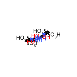 O=S(=O)(O)c1cc(/N=N/c2ccc(Nc3nc(O)nc(Nc4ccc(/N=N/c5cc(S(=O)(=O)O)c6cccc(S(=O)(=O)O)c6c5)c(O)c4)n3)cc2O)cc2c(S(=O)(=O)O)cccc12